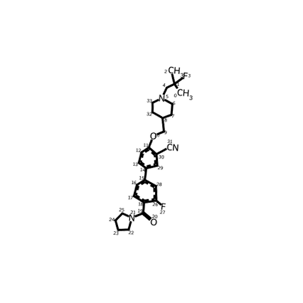 CC(C)(F)CN1CCC(COc2ccc(-c3ccc(C(=O)N4CCCC4)c(F)c3)cc2C#N)CC1